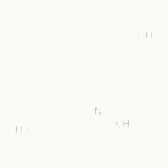 C=CCN(C)CCCO